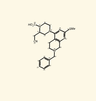 CSc1nc2c(c(N3CCN(C(=O)O)C(CC#N)C3)n1)CCN(Cc1ccccc1)C2